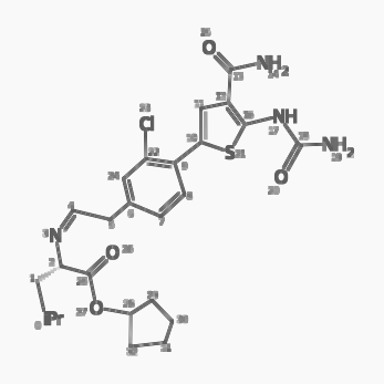 CC(C)C[C@H](/N=C\Cc1ccc(-c2cc(C(N)=O)c(NC(N)=O)s2)c(Cl)c1)C(=O)OC1CCCC1